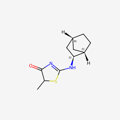 CC1SC(N[C@H]2C[C@@H]3CC[C@H]2C3)=NC1=O